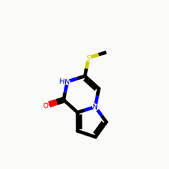 CSc1cn2cccc2c(=O)[nH]1